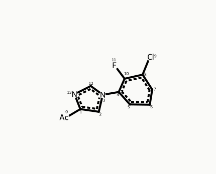 CC(=O)c1cn(-c2cccc(Cl)c2F)cn1